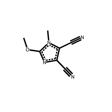 COc1nc(C#N)c(C#N)n1C